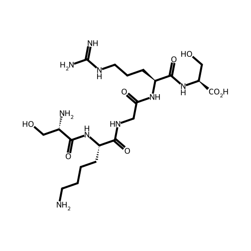 N=C(N)NCCC[C@H](NC(=O)CNC(=O)[C@H](CCCCN)NC(=O)[C@@H](N)CO)C(=O)N[C@@H](CO)C(=O)O